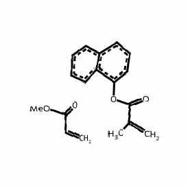 C=C(C)C(=O)Oc1cccc2ccccc12.C=CC(=O)OC